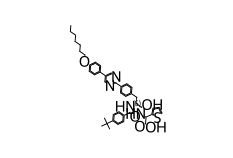 CCCCCCCOc1ccc(-c2cnc(-c3ccc(C[C@H](NC(=O)c4ccc(C(C)(C)C)cc4)C(O)NC(C(=O)O)c4cccs4)cc3)nc2)cc1